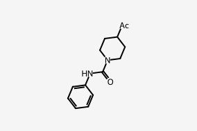 CC(=O)C1CCN(C(=O)Nc2ccccc2)CC1